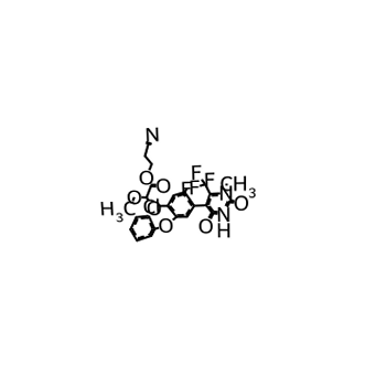 COC(Oc1ccccc1Oc1cc(-c2c(C(F)(F)F)n(C)c(=O)[nH]c2=O)c(F)cc1Cl)C(=O)OCCC#N